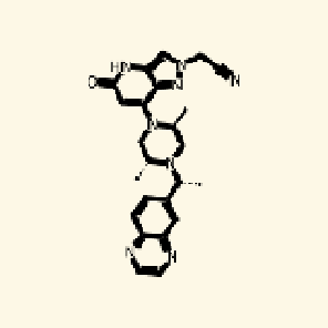 C[C@@H]1CN(c2cc(=O)[nH]c3cn(CC#N)nc23)[C@@H](C)CN1[C@H](C)c1ccc2nccnc2c1